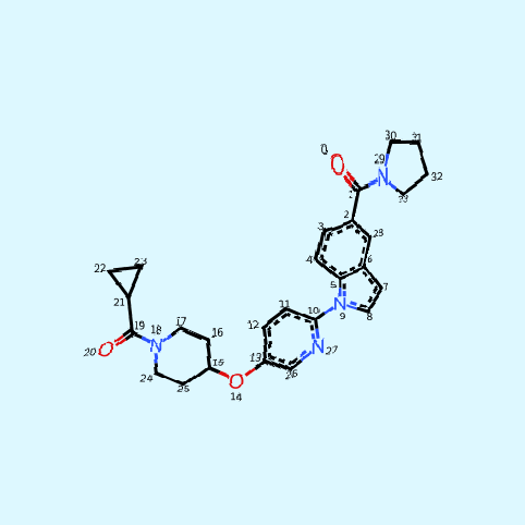 O=C(c1ccc2c(ccn2-c2ccc(OC3CCN(C(=O)C4CC4)CC3)cn2)c1)N1CCCC1